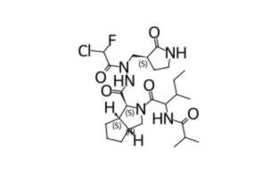 CCC(C)C(NC(=O)C(C)C)C(=O)N1C[C@@H]2CCC[C@@H]2[C@H]1C(=O)NN(C[C@@H]1CCNC1=O)C(=O)C(F)Cl